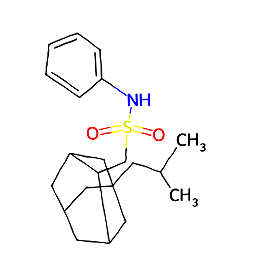 CC(C)CC12CC3CC(C1)C(CS(=O)(=O)Nc1ccccc1)C(C3)C2